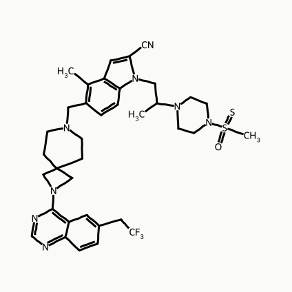 Cc1c(CN2CCC3(CC2)CN(c2ncnc4ccc(CC(F)(F)F)cc24)C3)ccc2c1cc(C#N)n2CC(C)N1CCN(S(C)(=O)=S)CC1